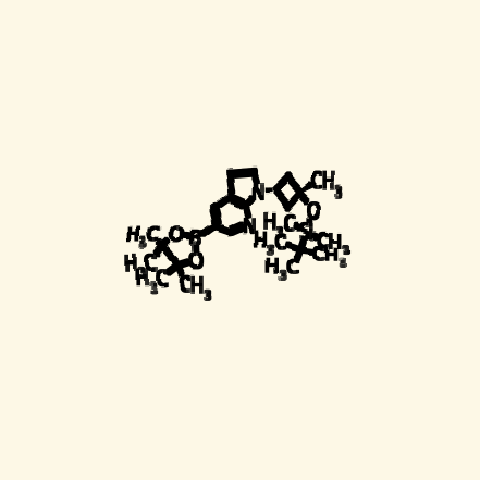 CC1(C)OB(c2cnc3c(ccn3[C@H]3C[C@@](C)(O[Si](C)(C)C(C)(C)C)C3)c2)OC1(C)C